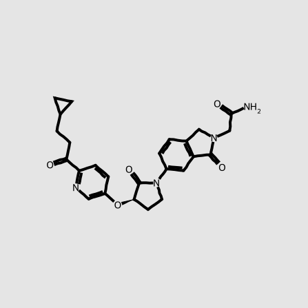 NC(=O)CN1Cc2ccc(N3CC[C@@H](Oc4ccc(C(=O)CCC5CC5)nc4)C3=O)cc2C1=O